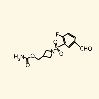 NC(=O)OCC1CN(S(=O)(=O)c2cc(C=O)ccc2F)C1